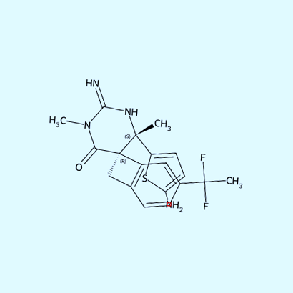 CN1C(=N)N[C@](C)(c2ccc(N)s2)[C@]2(Cc3ccc(C(C)(F)F)cc32)C1=O